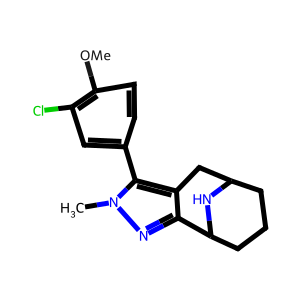 COc1ccc(-c2c3c(nn2C)C2CCCC(C3)N2)cc1Cl